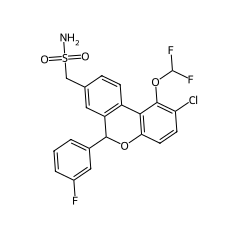 NS(=O)(=O)Cc1ccc2c(c1)C(c1cccc(F)c1)Oc1ccc(Cl)c(OC(F)F)c1-2